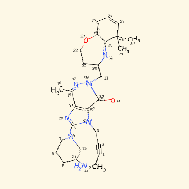 CC#CCn1c(N2CCCC(N)C2)nc2c(C)nn(CC3CCOC4=CC=CC(C)(C)C4=N3)c(=O)c21